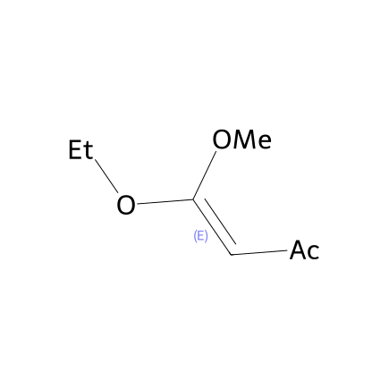 CCO/C(=C/C(C)=O)OC